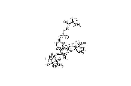 C=C(C)C(=O)OCC(=O)OC1CC2OC1C(C(C)(C)OC(C)(C)C(C)(O)C(F)(F)F)C2C(C)(C)OC(C)(C)C(C)(O)C(F)(F)F